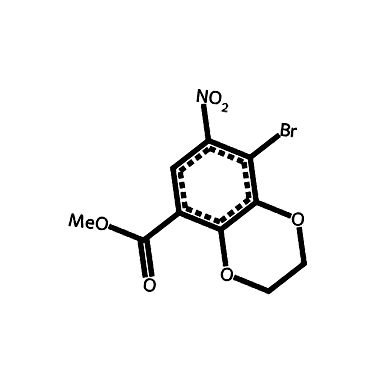 COC(=O)c1cc([N+](=O)[O-])c(Br)c2c1OCCO2